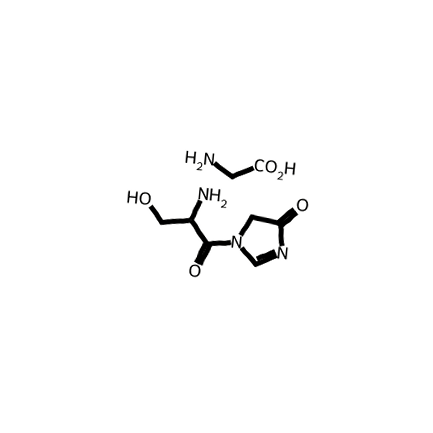 NC(CO)C(=O)N1C=NC(=O)C1.NCC(=O)O